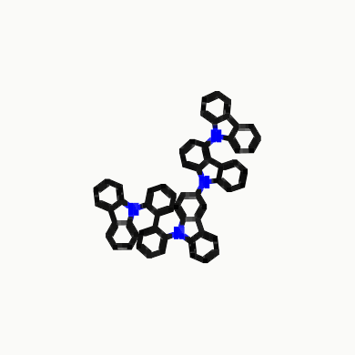 c1ccc(-n2c3ccccc3c3ccccc32)c(-c2ccccc2-n2c3ccccc3c3cc(-n4c5ccccc5c5c(-n6c7ccccc7c7ccccc76)cccc54)ccc32)c1